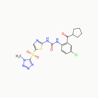 Cn1nnnc1S(=O)(=O)c1cnc(NC(=O)Nc2ccc(Cl)cc2C(=O)C2CCCC2)s1